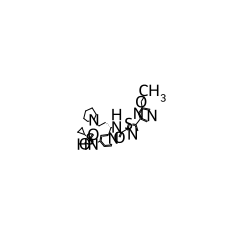 CCOc1cncc(-c2cnc(C(=O)N[C@@H](CCN3CCCCC3)c3cc(NS(=O)(=O)C4CC4)ccn3)s2)n1